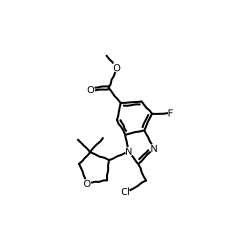 COC(=O)c1cc(F)c2nc(CCl)n(C3COCC3(C)C)c2c1